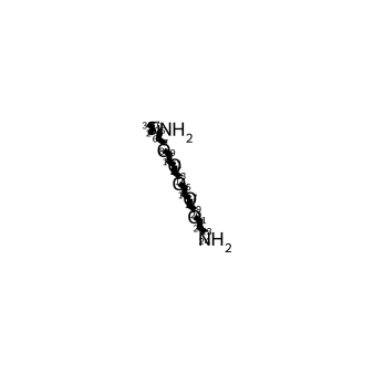 C[Si](C)(C)C(N)CCOCCOCCOCCOCCOCCCN